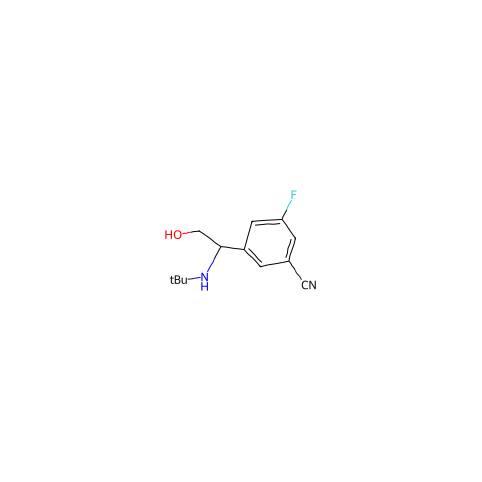 CC(C)(C)NC(CO)c1cc(F)cc(C#N)c1